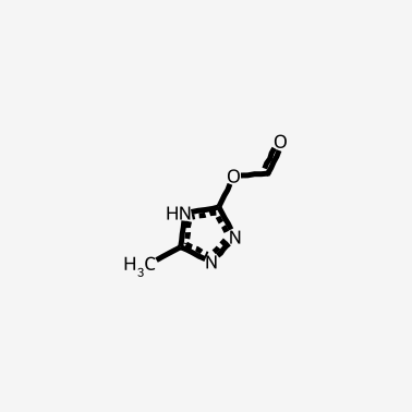 Cc1nnc(OC=O)[nH]1